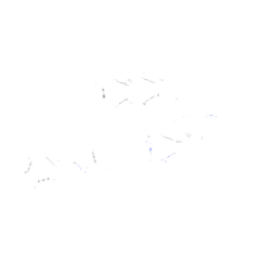 Cc1oc(-c2ccccc2)nc1CCOc1ncc(C2CCNCC2OCc2ccc3ccccc3c2)cn1